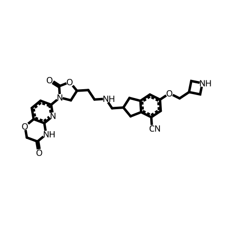 N#Cc1cc(OCC2CNC2)cc2c1CC(CNCCC1CN(c3ccc4c(n3)NC(=O)CO4)C(=O)O1)C2